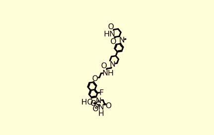 CN(c1ccc(C2CCN(CC(=O)NCCOc3ccc4cc(O)c(N5CC(=O)NS5(=O)=O)c(F)c4c3)CC2)cc1)C1CCC(=O)NC1=O